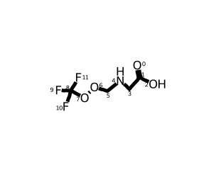 O=C(O)CNCOOC(F)(F)F